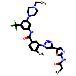 CCC(=O)Nc1ncc(-c2cn(-c3cc(C(=O)Nc4cc(N5CCN(CC)CC5)cc(C(F)(F)F)c4)ccc3C)nn2)s1